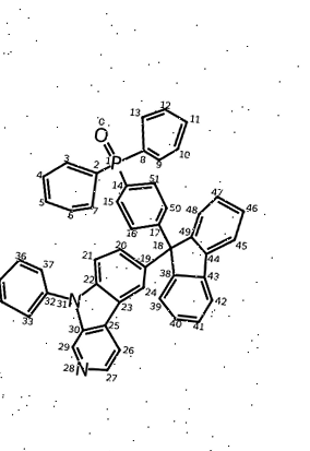 O=P(c1ccccc1)(c1ccccc1)c1ccc(C2(c3ccc4c(c3)c3ccncc3n4-c3ccccc3)c3ccccc3-c3ccccc32)cc1